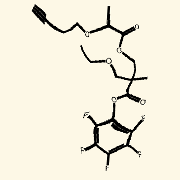 C#CCCOC(C)C(=O)OCC(C)(COCC)C(=O)Oc1c(F)c(F)c(F)c(F)c1F